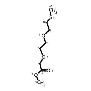 COC(=O)COCCOCCSC